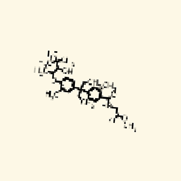 CCC(CC)(c1ccc(OC(C)C(O)C(C)(C)C)c(C)c1)c1ccc(C(=O)NCC(=O)OC)c(C)c1